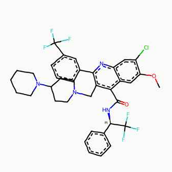 COc1cc2c(C(=O)N[C@H](c3ccccc3)C(F)(F)F)c(CN3CCC(N4CCCCC4)CC3)c(-c3cccc(C(F)(F)F)c3)nc2cc1Cl